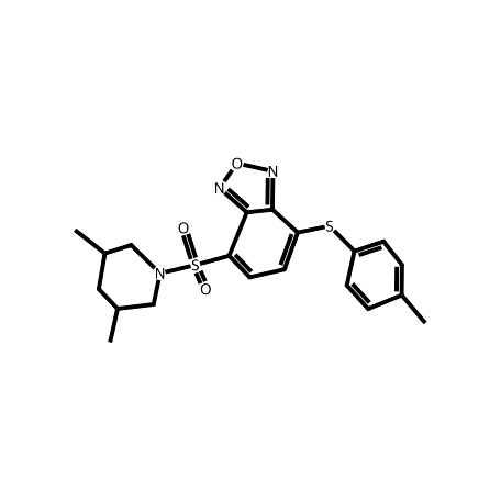 Cc1ccc(Sc2ccc(S(=O)(=O)N3CC(C)CC(C)C3)c3nonc23)cc1